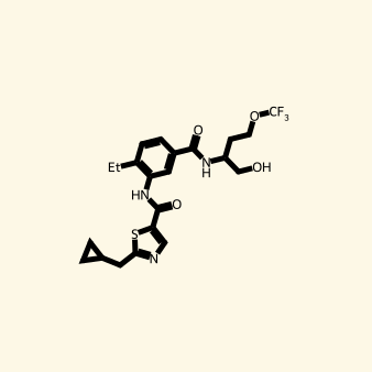 CCc1ccc(C(=O)NC(CO)CCOC(F)(F)F)cc1NC(=O)c1cnc(CC2CC2)s1